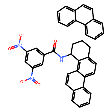 O=C(NC1CCCc2ccc3c(ccc4ccccc43)c21)c1cc([N+](=O)[O-])cc([N+](=O)[O-])c1.c1ccc2c(c1)ccc1ccccc12